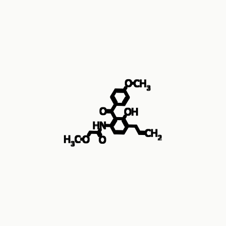 C=CCc1ccc(NC(=O)COC)c(C(=O)c2ccc(OC)cc2)c1O